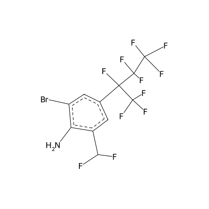 Nc1c(Br)cc(C(F)(C(F)(F)F)C(F)(F)C(F)(F)F)cc1C(F)F